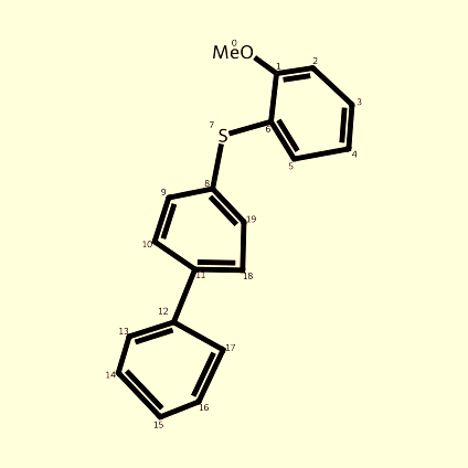 COc1ccccc1Sc1ccc(-c2ccccc2)cc1